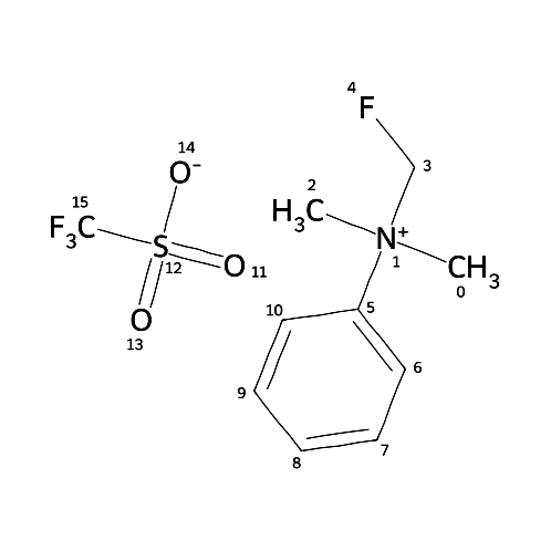 C[N+](C)(CF)c1ccccc1.O=S(=O)([O-])C(F)(F)F